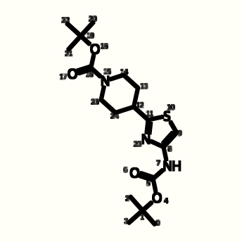 CC(C)(C)OC(=O)Nc1csc(C2CCN(C(=O)OC(C)(C)C)CC2)n1